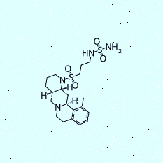 Cc1cccc2c1[C@@H]1C[C@@H]3[C@@H](CCCN3S(=O)(=O)CCCNS(N)(=O)=O)CN1CC2